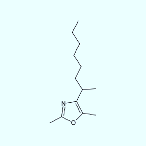 CCCCCCC(C)c1nc(C)oc1C